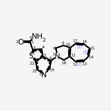 NC(=O)c1cc2c(N3CCC4=C(\C=C/C=C\C=C/4)C3)cncc2s1